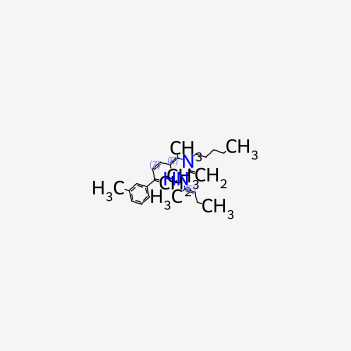 C=C(/C=C\C(C)=C(/C)N(CCCCC)C(=C)N/C(C)=C/CC)c1cccc(C)c1